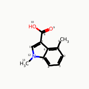 Cc1cccc2c1c(C(=O)O)cn2C